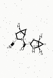 N#C[C@@H]1C[C@@H]2CC2N1C(=O)[C@@H]1C[C@@H]2C[C@@H]2N1